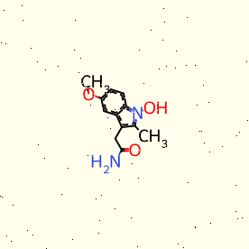 COc1ccc2c(c1)c(CC(N)=O)c(C)n2O